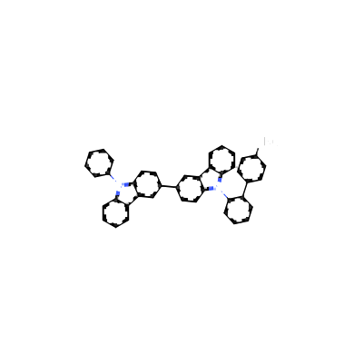 CC(C)(C)c1ccc(-c2ccccc2-n2c3ccccc3c3cc(-c4ccc5c(c4)c4ccccc4n5-c4ccccc4)ccc32)cc1